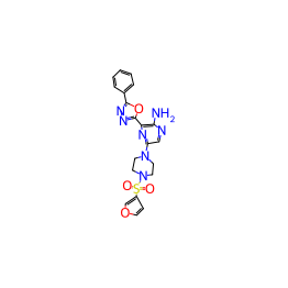 Nc1ncc(N2CCN(S(=O)(=O)c3ccoc3)CC2)nc1-c1nnc(-c2ccccc2)o1